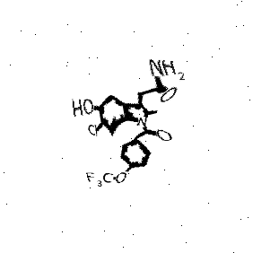 Cc1c(CC(N)=O)c2cc(O)c(Cl)cc2n1C(=O)c1ccc(OC(F)(F)F)cc1